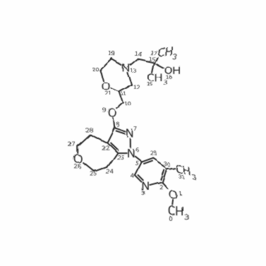 COc1ncc(-n2nc(OCC3CN(CC(C)(C)O)CCO3)c3c2CCOCC3)cc1C